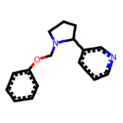 c1ccc(OCN2CCCC2c2cccnc2)cc1